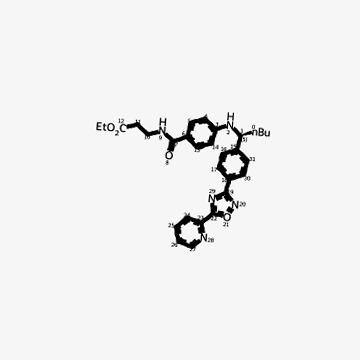 CCCC[C@H](Nc1ccc(C(=O)NCCC(=O)OCC)cc1)c1ccc(-c2noc(-c3ccccn3)n2)cc1